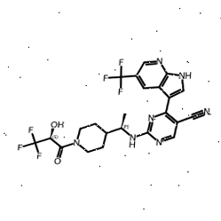 C[C@@H](Nc1ncc(C#N)c(-c2c[nH]c3ncc(C(F)(F)F)cc23)n1)C1CCN(C(=O)[C@H](O)C(F)(F)F)CC1